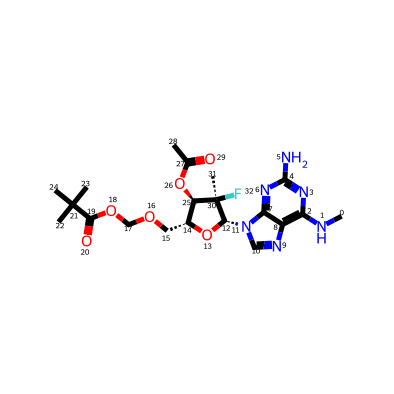 CNc1nc(N)nc2c1ncn2[C@@H]1O[C@H](COCOC(=O)C(C)(C)C)[C@@H](OC(C)=O)[C@@]1(C)F